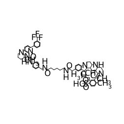 Cc1ccc(S(=O)(=O)O)cc1C(C)(C)C1=NCCC2NC3CCN4c5ccc(CC(=O)NCCCCCC(=O)NCc6ccc(NC(=O)N7c8nc(-c9cccc(C(F)(F)F)c9)ccc8N8CCCC7(C)C8)cc6)cc5C(C)(C)C4C3C=C12